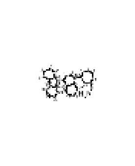 NCC1=CC=CC=C(c2ccc(-n3c4ccccc4c4cnccc43)c3ccccc23)C1